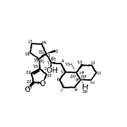 C[C@]1([C@H](O)CC2CCC[C@@H]3CCCC[C@]23C)CCC[C@@H]1C1=CC(=O)OC1